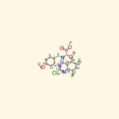 COC(=O)CN(Cc1ccc(OC)cc1)c1nc(Cl)nc2c(F)cc(F)c(OC)c12